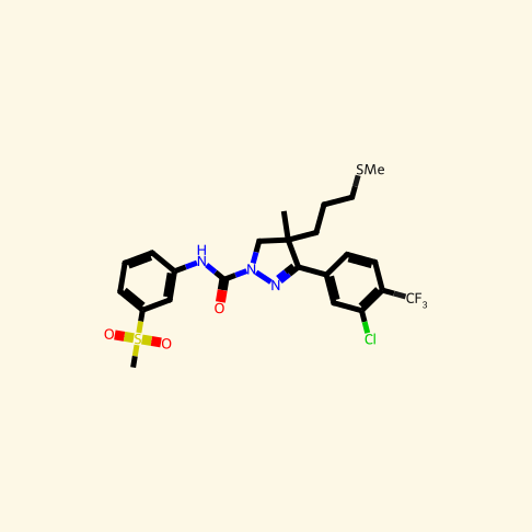 CSCCCC1(C)CN(C(=O)Nc2cccc(S(C)(=O)=O)c2)N=C1c1ccc(C(F)(F)F)c(Cl)c1